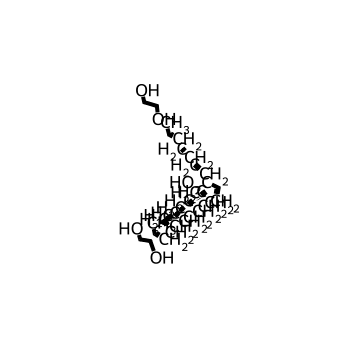 C=C.C=C.C=C.C=C.C=C.C=C.C=C.C=C.C=C.C=CC.C=CC.C=CC(=O)O.OCCO.OCCO